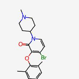 Cc1cccc(C)c1Oc1c(Br)ccn(C2CCN(C)CC2)c1=O